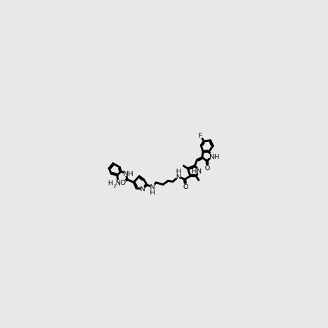 Cc1[nH]c(C=C2C(=O)Nc3ccc(F)cc32)c(C)c1C(=O)NCCCCNc1ccc(C(=O)Nc2ccccc2N)cn1